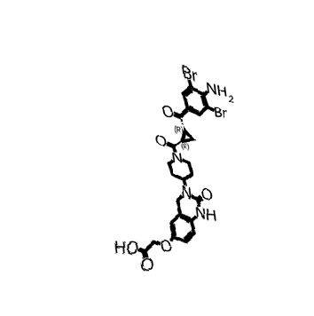 Nc1c(Br)cc(C(=O)[C@@H]2C[C@H]2C(=O)N2CCC(N3Cc4cc(OCC(=O)O)ccc4NC3=O)CC2)cc1Br